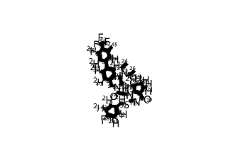 [2H]c1c([2H])c(CSc2nc(=O)c3c(n2C([2H])([2H])C(=O)N(CCN(CC)CC)Cc2c([2H])c([2H])c(-c4c([2H])c([2H])c(C(F)(F)F)c(C)c4[2H])c([2H])c2[2H])C([2H])([2H])C([2H])([2H])C3([2H])[2H])c([2H])c([2H])c1F